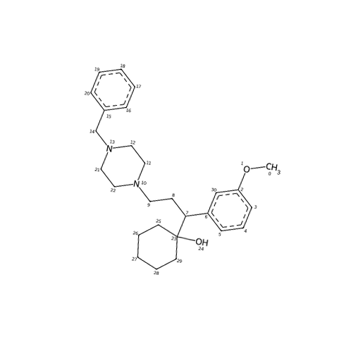 COc1cccc(C(CCN2CCN(Cc3ccccc3)CC2)C2(O)CCCCC2)c1